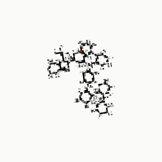 CC(C)(C)c1c(-c2cccc(N(c3ccc(-c4ccccc4-c4ccccc4-c4ccccc4)cc3)c3ccccc3-c3ccccc3)c2)oc2ccccc12